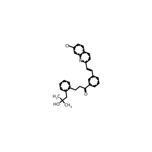 CC(C)(O)Cc1ccccc1CCC(=O)c1cccc(/C=C/c2ccc3ccc(Cl)cc3n2)c1